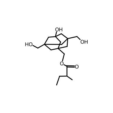 CCC(C)C(=O)OCC12CC3(O)CC(CO)(CC(CO)(C3)C1)C2